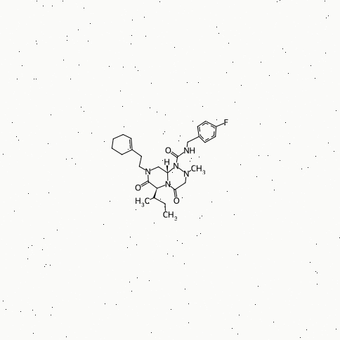 CCC(C)[C@H]1C(=O)N(CCC2=CCCCC2)C[C@H]2N1C(=O)CN(C)N2C(=O)NCc1ccc(F)cc1